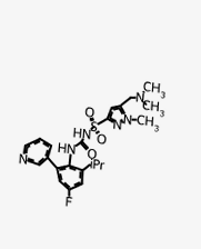 CC(C)c1cc(F)cc(-c2cccnc2)c1NC(=O)NS(=O)(=O)c1cc(CN(C)C)n(C)n1